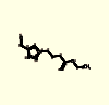 CCOC(=O)CCCn1cc(C=O)nn1